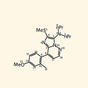 CCCN(CCC)c1c(SC)nc2c(-c3ccc(OC)cc3C)ccnn12